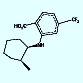 C[C@H]1CCCC[C@H]1Nc1cc(C(F)(F)F)ccc1C(=O)O